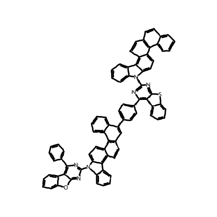 c1ccc(-c2nc(-n3c4ccccc4c4c5ccc6cc(-c7ccc(-c8nc(-n9c%10ccccc%10c%10c%11ccc%12ccc%13ccccc%13c%12c%11ccc%109)nc9sc%10ccccc%10c89)cc7)c7ccccc7c6c5ccc43)nc3oc4ccccc4c23)cc1